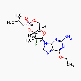 CCOC1=NC(N)=NC2C1=NCN2[C@@H]1O[C@@H]2CO[P@@](=O)(CC(C)C)O[C@H]2[C@@]1(C)F